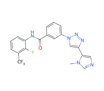 Cn1cncc1-c1cn(-c2cccc(C(=O)Nc3cccc(C(F)(F)F)c3F)c2)nn1